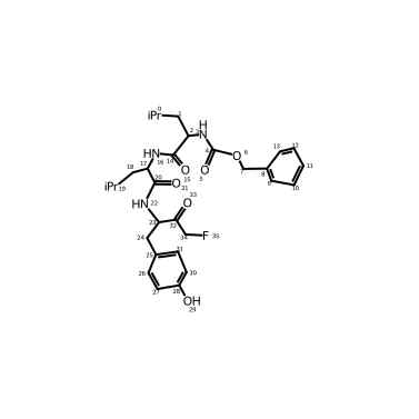 CC(C)CC(NC(=O)OCc1ccccc1)C(=O)NC(CC(C)C)C(=O)NC(Cc1ccc(O)cc1)C(=O)CF